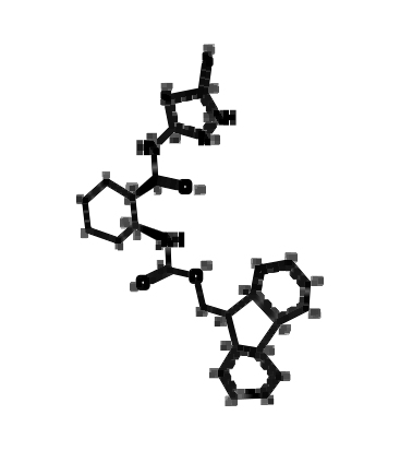 O=C(N[C@H]1CCCC[C@H]1C(=O)Nc1n[nH]c(=S)s1)OCC1c2ccccc2-c2ccccc21